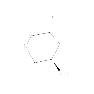 C[C@H]1C[N]C[C@H](C)C1